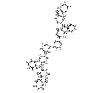 c1cc(-c2cccc(-c3ccc4c(c3)c3ccccc3n4-c3ccc4oc5ccccc5c4c3)c2)cc(-c2ccc3c(c2)c2ccccc2n3-c2ccc3oc4ccccc4c3c2)c1